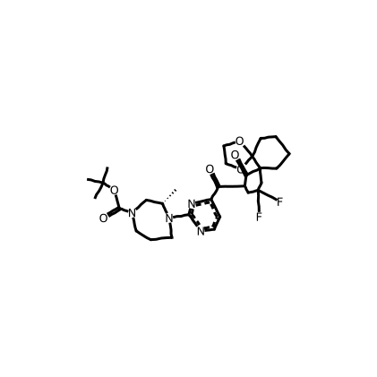 C[C@H]1CN(C(=O)OC(C)(C)C)CCCN1c1nccc(C(=O)C2CC(F)(F)CC3(CCCCC34OCCO4)C2=O)n1